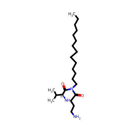 CCCCCCCCCCCCCCN(C(=O)CCCN)C(=O)[C@@H](N)C(C)C